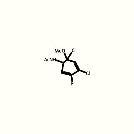 COC1(Cl)C=C(Cl)C(F)=CC1NC(C)=O